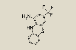 Nc1cc(C(F)(F)F)cc2c1Nc1ccccc1S2